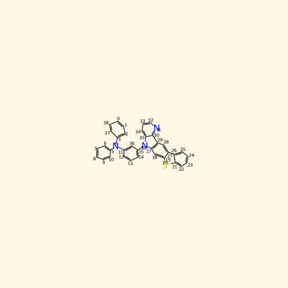 c1ccc(N(c2ccccc2)c2cccc(-n3c4cc5sc6ccccc6c5cc4c4ncccc43)c2)cc1